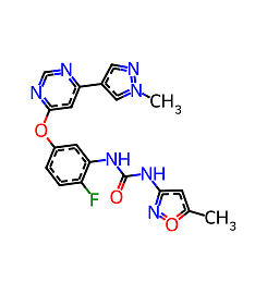 Cc1cc(NC(=O)Nc2cc(Oc3cc(-c4cnn(C)c4)ncn3)ccc2F)no1